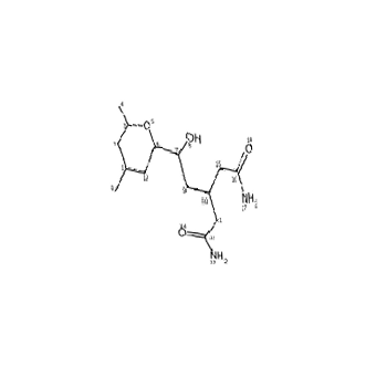 CC1CC(C)OC(C(O)CC(CC(N)=O)CC(N)=O)C1